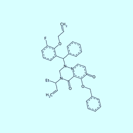 C=CCOc1c(F)cccc1C(c1ccccc1)N1CN(C(C=C)CC)C(=O)c2c(OCc3ccccc3)c(=O)ccn21